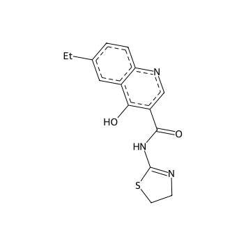 CCc1ccc2ncc(C(=O)NC3=NCCS3)c(O)c2c1